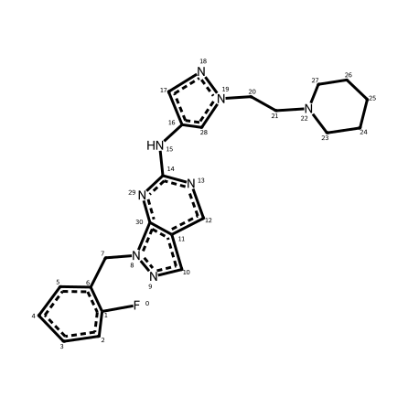 Fc1ccccc1Cn1ncc2cnc(Nc3cnn(CCN4CCCCC4)c3)nc21